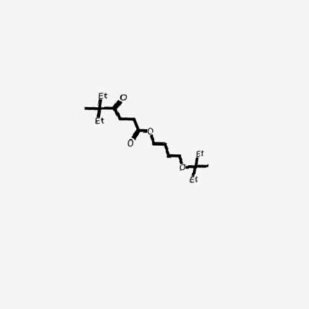 CCC(C)(CC)OCCCCOC(=O)CCC(=O)C(C)(CC)CC